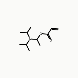 C=CC(=O)OC(C)N(C(C)C)C(C)C